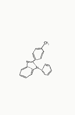 Cc1ccc(-c2nc3ccccc3n2-c2ccccc2)cc1